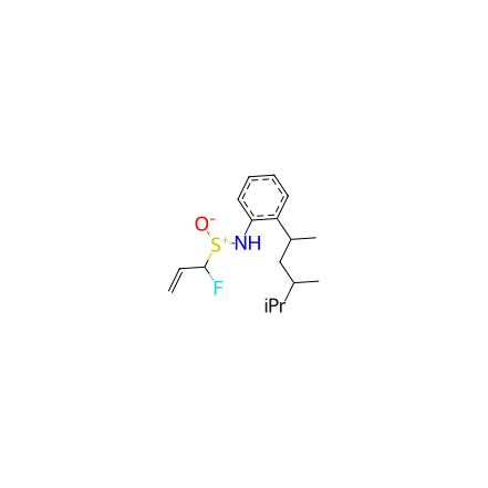 C=CC(F)[S+]([O-])Nc1ccccc1C(C)CC(C)C(C)C